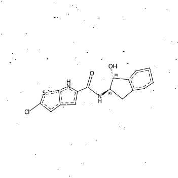 O=C(N[C@@H]1Cc2ccccc2[C@H]1O)c1cc2cc(Cl)sc2[nH]1